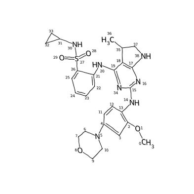 COc1cc(N2CCOCC2)ccc1Nc1nc2c(c(Nc3ccccc3S(=O)(=O)NC3CC3)n1)C(C)CN2